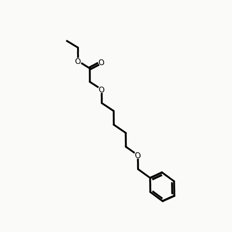 CCOC(=O)COCCCCCOCc1ccccc1